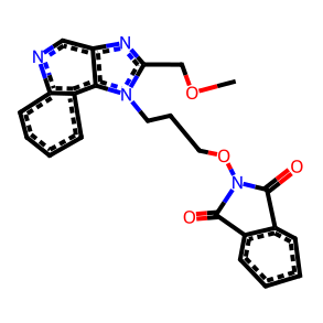 COCc1nc2cnc3ccccc3c2n1CCCON1C(=O)c2ccccc2C1=O